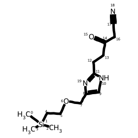 C[Si](C)(C)CCOCc1c[nH]c(CCC(=O)CC#N)n1